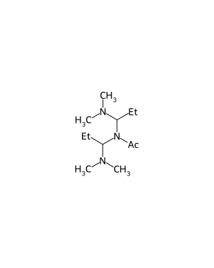 CCC(N(C)C)N(C(C)=O)C(CC)N(C)C